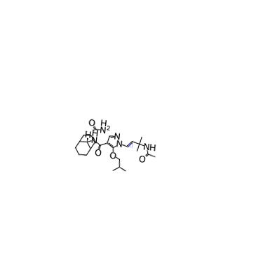 CC(=O)NC(C)(C)/C=C/n1ncc(C(=O)N[C@H]2C3CCCC2C[C@@H](C(N)=O)C3)c1OCC(C)C